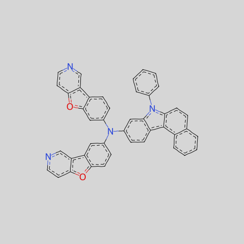 c1ccc(-n2c3cc(N(c4ccc5c(c4)oc4ccncc45)c4ccc5oc6ccncc6c5c4)ccc3c3c4ccccc4ccc32)cc1